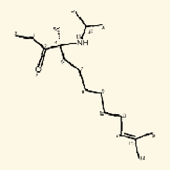 CCC(=O)[C@](C)(CCCCCCC=C(C)C)NC(C)C